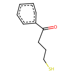 O=C(CCCS)c1ccccc1